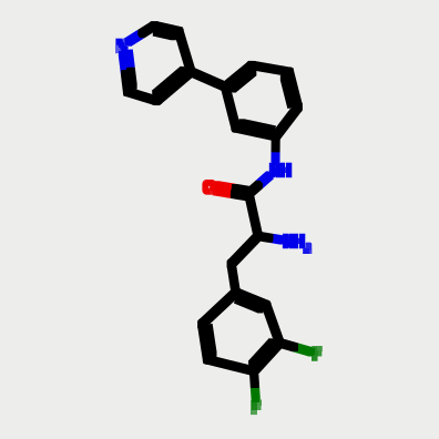 NC(Cc1ccc(F)c(F)c1)C(=O)Nc1cccc(-c2ccncc2)c1